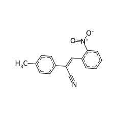 Cc1ccc(/C(C#N)=C/c2ccccc2[N+](=O)[O-])cc1